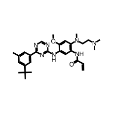 C=CC(=O)Nc1cc(Nc2ncnc(-c3cc(C)cc(C(C)(C)C)c3)n2)c(OC)cc1N(C)CCN(C)C